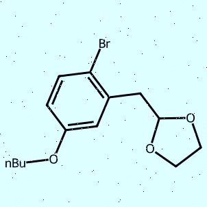 CCCCOc1ccc(Br)c(CC2OCCO2)c1